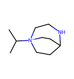 CC(C)[N+]12CCNC(CC1)CC2